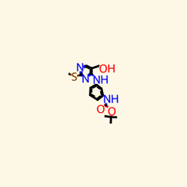 CSc1ncc(CO)c(Nc2cccc(NC(=O)OC(C)(C)C)c2)n1